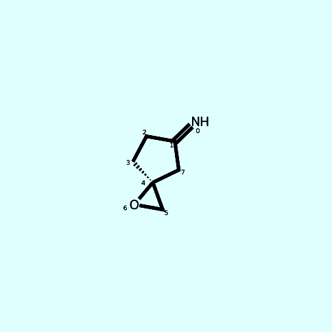 N=C1CC[C@@]2(CO2)C1